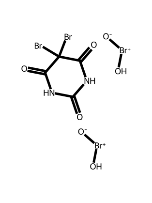 O=C1NC(=O)C(Br)(Br)C(=O)N1.[O-][Br+]O.[O-][Br+]O